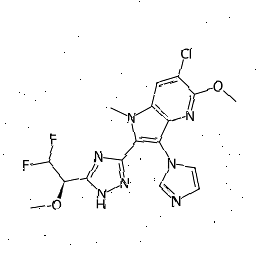 COc1nc2c(-n3ccnc3)c(-c3n[nH]c([C@@H](OC)C(F)F)n3)n(C)c2cc1Cl